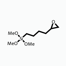 CO[Si](CCCCC1CO1)(OC)OC